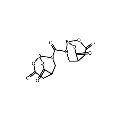 O=C1CC2CN(C(=O)N3CC4CC(=O)OB3OC4=O)B(O1)OC2=O